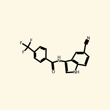 N#Cc1ccc2[nH]cc(NC(=O)c3ccc(C(F)(F)F)cc3)c2c1